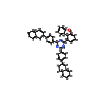 c1ccc2cc(-c3ccc(-c4nc(-c5ccc(-c6ccc7ccccc7c6)cc5)nc(-c5cccc6oc7ccccc7c56)n4)cc3)ccc2c1